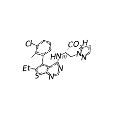 CCc1sc2ncnc(N[C@@H](Cn3cccn3)C(=O)O)c2c1-c1cccc(Cl)c1C